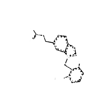 Cc1cccc(C)c1Cn1ccc2ccc(CCC(=O)O)cc21